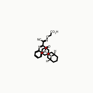 N#C/C(=N\OCC(=O)O)c1nc2ccccc2n([C@H]2C[C@H]3CCC[C@@H](C2)N3C2CCCCC2)c1=O